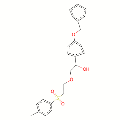 Cc1ccc(S(=O)(=O)CCOCC(O)c2ccc(OCc3ccccc3)cc2)cc1